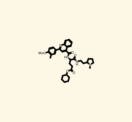 COc1ccc(-c2cc(C(=O)NC(CCC(=O)OC3CCCCC3)C(=O)NCCC3CCCN3C)c3ccccc3n2)cc1C